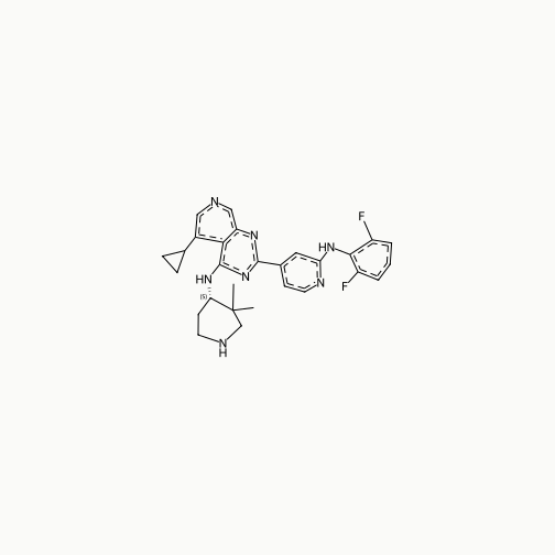 CC1(C)CNCC[C@@H]1Nc1nc(-c2ccnc(Nc3c(F)cccc3F)c2)nc2cncc(C3CC3)c12